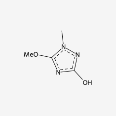 COc1nc(O)nn1C